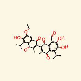 CCOc1cc2c(c(C(C)C)c1O)C(=O)C(C)=C(C1=C(C)C(=O)c3c(c(C=O)c(O)c(O)c3C(C)C)C1=O)C2=O